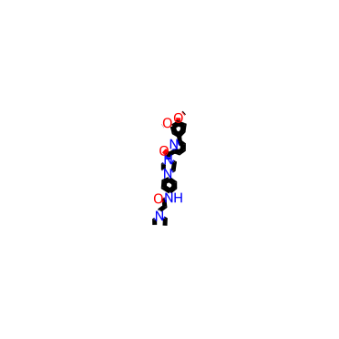 CCN(CC)CCC(=O)Nc1ccc(N2CCN(C(=O)c3cccc(-c4ccc(OC)c(OC)c4)n3)CC2)cc1